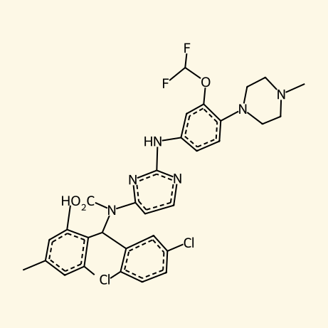 Cc1cc(C)c(C(c2cc(Cl)ccc2Cl)N(C(=O)O)c2ccnc(Nc3ccc(N4CCN(C)CC4)c(OC(F)F)c3)n2)c(C)c1